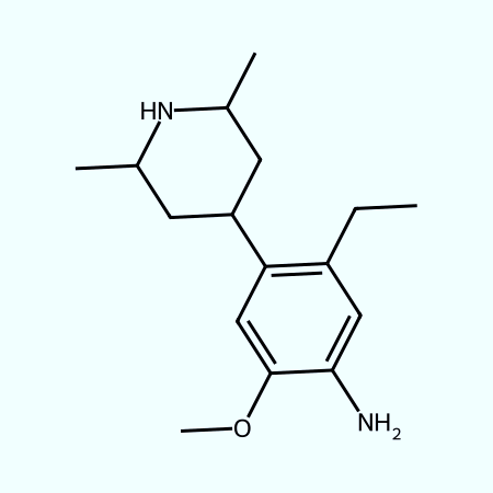 CCc1cc(N)c(OC)cc1C1CC(C)NC(C)C1